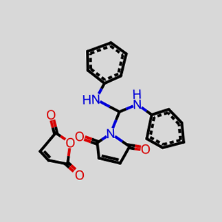 O=C1C=CC(=O)N1C(Nc1ccccc1)Nc1ccccc1.O=C1C=CC(=O)O1